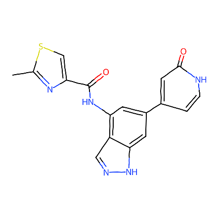 Cc1nc(C(=O)Nc2cc(-c3cc[nH]c(=O)c3)cc3[nH]ncc23)cs1